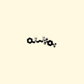 CN(C)c1ccc(S(=O)(=O)NCCCNCC2CCCCC2)cc1